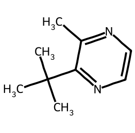 Cc1nccnc1C(C)(C)C